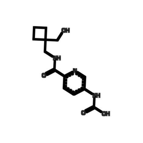 O=C(O)Nc1ccc(C(=O)NCC2(CO)CCC2)nc1